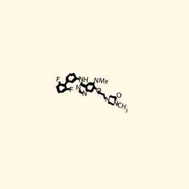 CNc1cc2c(Nc3cccc(-c4c(F)cccc4F)c3)ncnc2cc1OCCCN1CCN(C)C(=O)C1